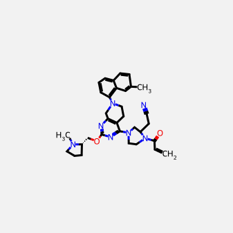 C=CC(=O)N1CCN(c2nc(OC[C@@H]3CCCN3C)nc3c2CCN(c2cccc4ccc(C)cc24)C3)CC1CC#N